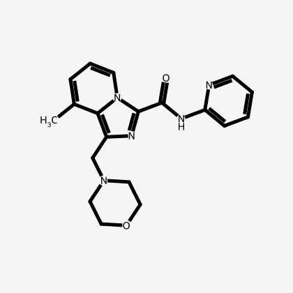 Cc1cccn2c(C(=O)Nc3ccccn3)nc(CN3CCOCC3)c12